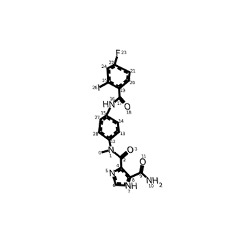 CN(C(=O)c1nc[nH]c1C(N)=O)c1ccc(NC(=O)c2ccc(F)cc2I)cc1